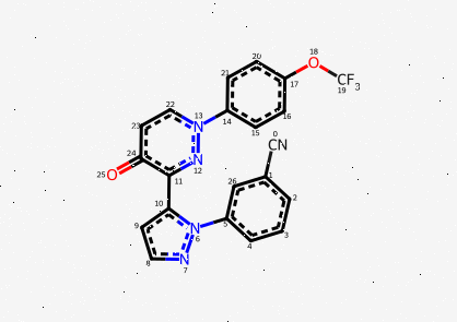 N#Cc1cccc(-n2nccc2-c2nn(-c3ccc(OC(F)(F)F)cc3)ccc2=O)c1